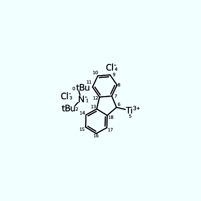 CC(C)(C)[N-]C(C)(C)C.[Cl-].[Cl-].[Ti+3][CH]1c2ccccc2-c2ccccc21